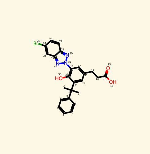 CC(C)(c1ccccc1)c1cc(CCC(=O)O)cc(-n2nc3ccc(Br)cc3n2)c1O